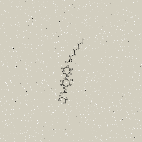 CCCCCCCOCc1ccc(-c2ccc(OCC(C)CC)cc2)nc1